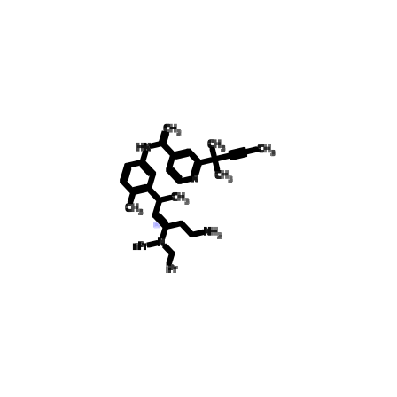 C=C(Nc1ccc(C)c(C(C)/C=C(\CCN)N(CCC)CC(C)C)c1)c1ccnc(C(C)(C)C#CC)c1